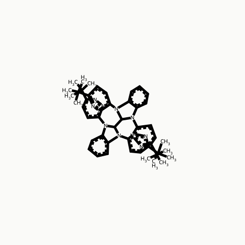 CC(C)(C)c1ccc(N2c3ccccc3N(c3ccc(C(C)(C)C)nn3)C2C2N(c3ccc(C(C)(C)C)nn3)c3ccccc3N2c2ccc(C(C)(C)C)nn2)nn1